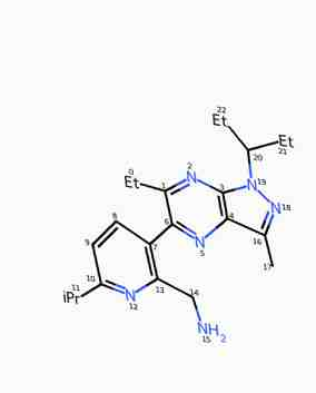 CCc1nc2c(nc1-c1ccc(C(C)C)nc1CN)c(C)nn2C(CC)CC